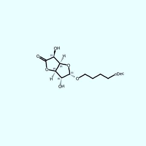 CCCCCCCCCCCCCCO[C@H]1O[C@H]2[C@H](OC(=O)[C@H]2O)[C@H]1O